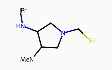 CNC1CN(CS)CC1NC(C)C